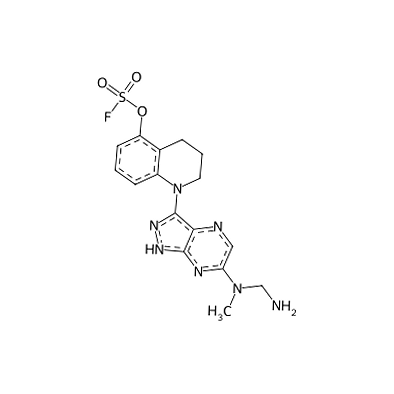 CN(CN)c1cnc2c(N3CCCc4c(OS(=O)(=O)F)cccc43)n[nH]c2n1